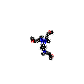 CC1(C)c2cc(-c3nc(-n4c5ccccc5c5cc(-c6ccc7oc8ccccc8c7c6)ccc54)nc(-n4c5ccccc5c5cc(-c6ccc7oc8ccccc8c7c6)ccc54)n3)cc3c2-c2c1cc(-n1c4ccccc4c4cc(-c5ccc6oc7ccccc7c6c5)ccc41)cc2C3(C)C